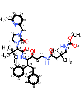 COC(=O)NCC(C)(C)CC(=O)NCCC(O)C(NC(=O)C(N1CCN(Cc2cccc(C)n2)C1=O)C(C)(C)C)C(Cc1ccccc1)c1ccccc1